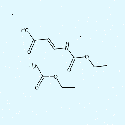 CCOC(=O)NC=CC(=O)O.CCOC(N)=O